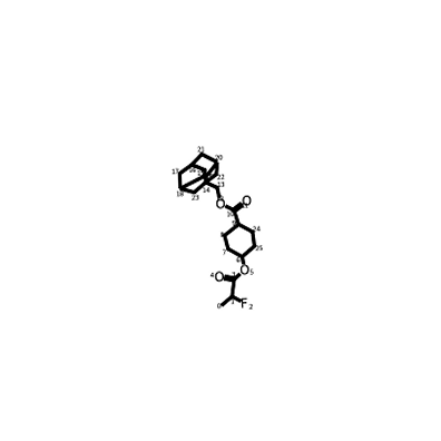 CC(F)C(=O)OC1CCC(C(=O)OCC23CC4CC(CC(C4)C2)C3)CC1